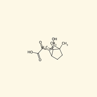 CC12CCC(C(C(=O)C(=O)O)=C1O)C2(C)C